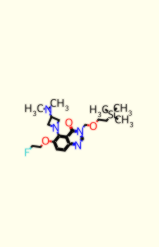 CN(C)C1CN(c2c(OCCF)ccc3ncn(COCC[Si](C)(C)C)c(=O)c23)C1